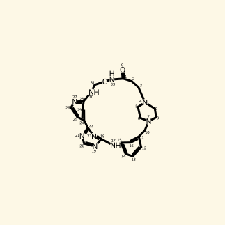 O=C1CCN2CCN(CC2)Cc2cccc(c2)Nc2ncnc(n2)-c2ccnc(c2)NCCN1